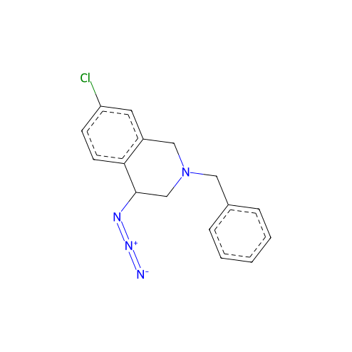 [N-]=[N+]=NC1CN(Cc2ccccc2)Cc2cc(Cl)ccc21